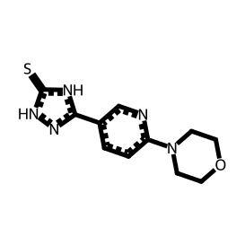 S=c1[nH]nc(-c2ccc(N3CCOCC3)nc2)[nH]1